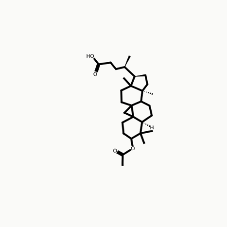 CC(=O)OC1CCC23CC24CCC2(C)[C@@H]([C@H](C)CCC(=O)O)CC[C@@]2(C)C4CC[C@H]3C1(C)C